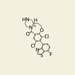 O=C1c2cc(Cl)c(-c3ccc(F)c4scnc34)c(Cl)c2OCC[C@H]2CNCCN12